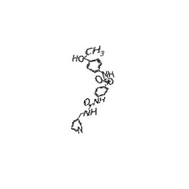 CC(O)c1ccc(NS(=O)(=O)c2ccc(NC(=O)NCc3cccnc3)cc2)cc1